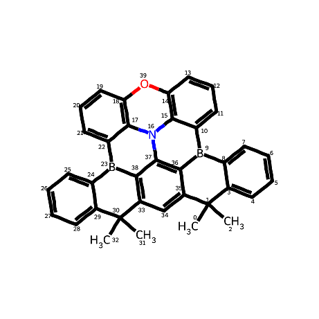 CC1(C)c2ccccc2B2c3cccc4c3N3c5c(cccc5B5c6ccccc6C(C)(C)c6cc1c2c3c65)O4